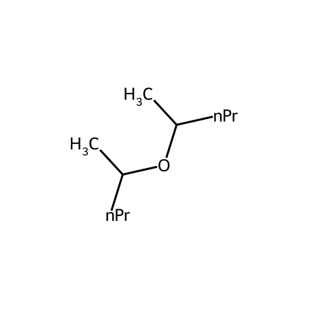 [CH2]CCC(C)OC(C)CCC